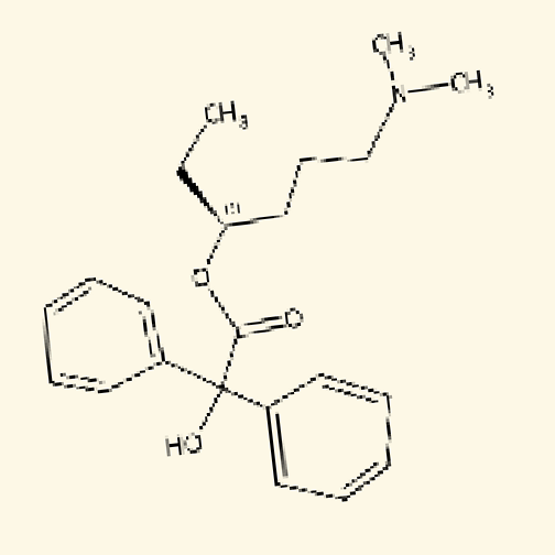 CC[C@@H](CCCN(C)C)OC(=O)C(O)(c1ccccc1)c1ccccc1